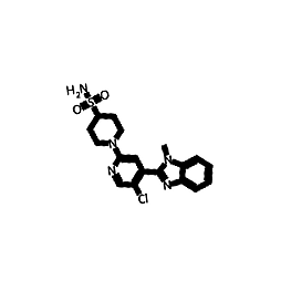 Cn1c(-c2cc(N3CCC(S(N)(=O)=O)CC3)ncc2Cl)nc2ccccc21